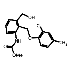 COC(=O)Nc1cccc(CO)c1COc1ccc(C)cc1Cl